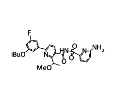 COC(C)c1nc(-c2cc(F)cc(OCC(C)C)c2)ccc1C(=O)NS(=O)(=O)c1cccc(N)n1